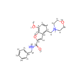 COc1ccc(CN2CCOCC2)c2cc(C(=O)NCc3ccccc3)oc12